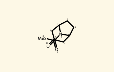 CSC(=O)N1C2CCC1CC(=O)C2